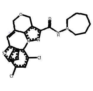 O=C(NN1CCCCCC1)c1nn(-c2ccc(Cl)cc2Cl)c2c1COC/C2=C/c1cccs1